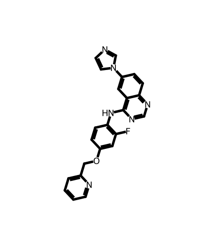 Fc1cc(OCc2ccccn2)ccc1Nc1ncnc2ccc(-n3ccnc3)cc12